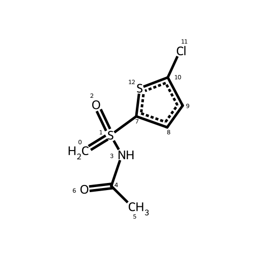 C=S(=O)(NC(C)=O)c1ccc(Cl)s1